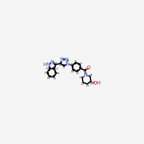 O=C(c1ccc(-n2cc(-c3n[nH]c4ccccc34)nn2)cc1)N1CCC[C@@H](O)C1